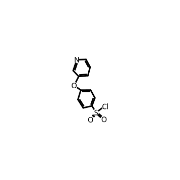 O=S(=O)(Cl)c1ccc(Oc2cccnc2)cc1